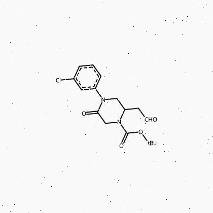 CC(C)(C)OC(=O)N1CC(=O)N(c2cccc(Cl)c2)CC1CC=O